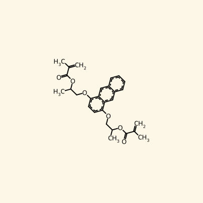 C=C(C)C(=O)OC(C)COc1ccc(OCC(C)OC(=O)C(=C)C)c2cc3ccccc3cc12